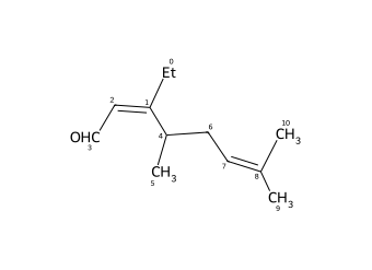 CCC(=CC=O)C(C)CC=C(C)C